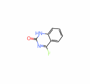 O=c1nc(F)c2ccccc2[nH]1